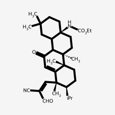 CCOC(=O)N[C@]12CCC(C)(C)CC1C1C(=O)C=C3[C@@](C)(/C=C(/C#N)C=O)[C@H](C(C)C)CC[C@@]3(C)[C@]1(C)CC2